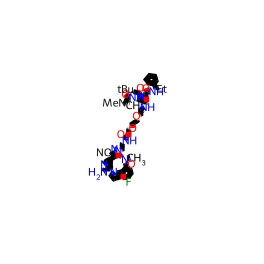 CC[C@H](NC(=O)[C@H]1C[C@@H](NCCOCCOCCC(=O)NCCn2nc(C#N)c3c2CN(C)C(=O)c2ccc(F)cc2[C@H]2CCCN2c2cc-3cnc2N)CN1C(=O)C(NC(=O)[C@@H](C)NC)C(C)(C)C)c1ccccc1